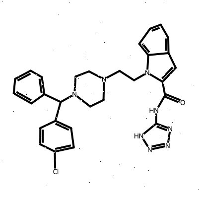 O=C(Nc1nnn[nH]1)c1cc2ccccc2n1CCN1CCN(C(c2ccccc2)c2ccc(Cl)cc2)CC1